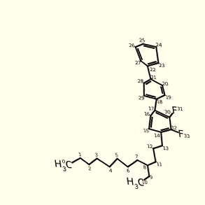 CCCCCCCCC(CC)CCCc1ccc(-c2ccc(-c3ccccc3)cc2)c(F)c1F